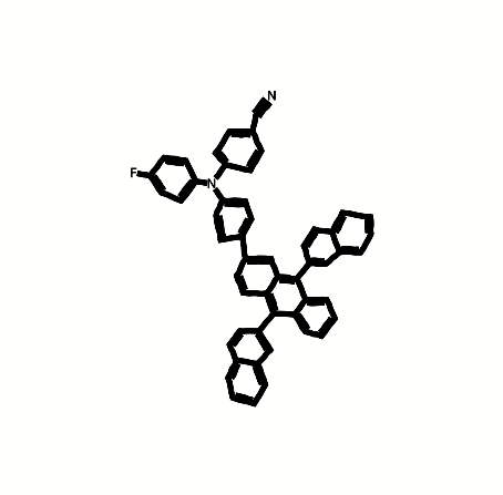 N#Cc1ccc(N(c2ccc(F)cc2)c2ccc(-c3ccc4c(-c5ccc6ccccc6c5)c5ccccc5c(-c5ccc6ccccc6c5)c4c3)cc2)cc1